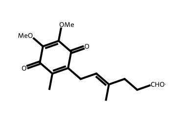 COC1=C(OC)C(=O)C(C/C=C(\C)CC[C]=O)=C(C)C1=O